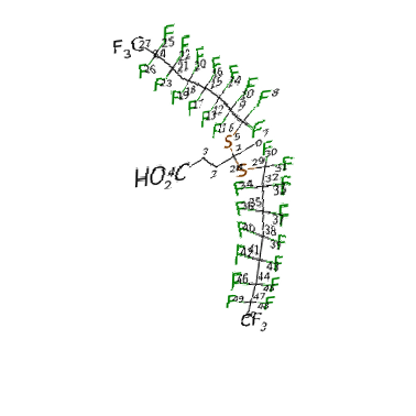 CC(CCC(=O)O)(SC(F)(F)C(F)(F)C(F)(F)C(F)(F)C(F)(F)C(F)(F)C(F)(F)C(F)(F)F)SC(F)(F)C(F)(F)C(F)(F)C(F)(F)C(F)(F)C(F)(F)C(F)(F)C(F)(F)F